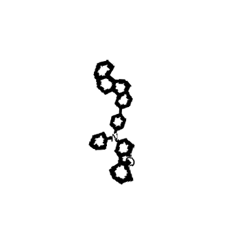 c1ccc(N(c2ccc(-c3ccc4ccc5c6ccccc6ccc5c4c3)cc2)c2ccc3oc4ccccc4c3c2)cc1